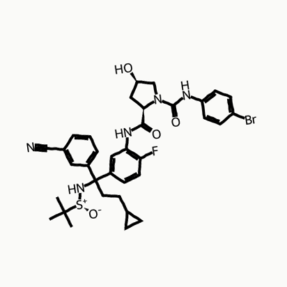 CC(C)(C)[S@@+]([O-])NC(CCC1CC1)(c1cccc(C#N)c1)c1ccc(F)c(NC(=O)[C@H]2C[C@@H](O)CN2C(=O)Nc2ccc(Br)cc2)c1